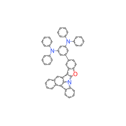 c1ccc(N(c2ccccc2)c2cc(-c3ccc4oc5c(c4c3)c3cc4ccccc4c4c6ccccc6n5c34)cc(N(c3ccccc3)c3ccccc3)c2)cc1